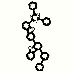 c1ccc(-c2cccc(-c3ccc(-c4ccc5c(c4)oc4c(-c6nc(-c7ccccc7)nc(-c7ccccc7)n6)cccc45)c4oc5ccccc5c34)c2)cc1